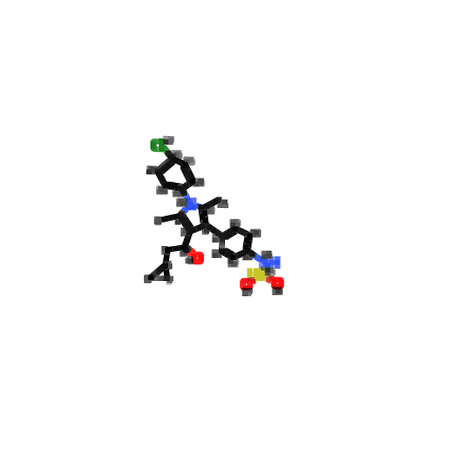 Cc1c(C(=O)CC2CC2)c(-c2ccc(N[SH](=O)=O)cc2)c(C)n1-c1ccc(Cl)cc1